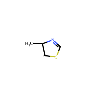 CC1[C]SC=N1